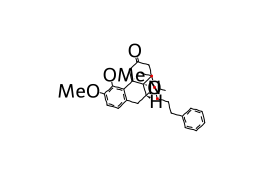 COc1ccc2c(c1OC)[C@]13CCN(C)[C@H](C2)[C@]1(OCCCc1ccccc1)CCC(=O)C3